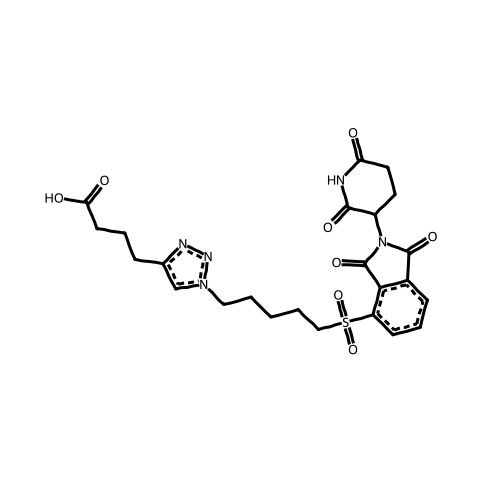 O=C(O)CCCc1cn(CCCCCS(=O)(=O)c2cccc3c2C(=O)N(C2CCC(=O)NC2=O)C3=O)nn1